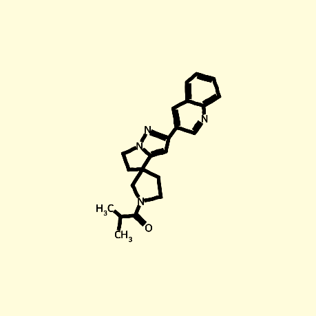 CC(C)C(=O)N1CCC2(CCn3nc(-c4cnc5ccccc5c4)cc32)C1